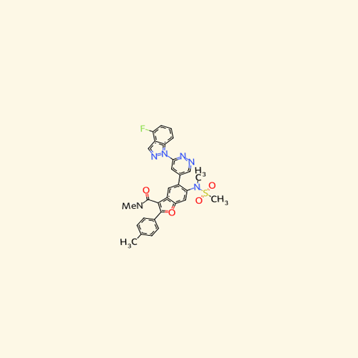 CNC(=O)c1c(-c2ccc(C)cc2)oc2cc(N(C)S(C)(=O)=O)c(-c3cnnc(-n4ncc5c(F)cccc54)c3)cc12